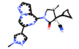 C[C@@H]1CN(c2nc(-c3cnn(C)c3)cn3nccc23)C(=O)[C@]1(C#N)C1CC1